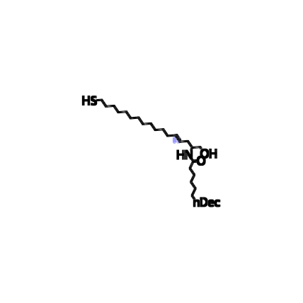 CCCCCCCCCCCCCCCC(=O)NC(CO)C/C=C/CCCCCCCCCCCCS